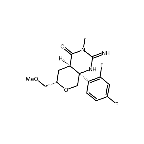 COC[C@@H]1C[C@H]2C(=O)N(C)C(=N)N[C@@]2(c2ccc(F)cc2F)CO1